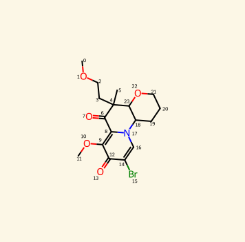 COCCC1(C)C(=O)c2c(OC)c(=O)c(Br)cn2C2CCCOC21